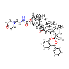 C[C@]1(C(=O)OC(c2ccccc2)c2ccccc2)CC[C@]2(C)CC[C@]3(C)C(=CC(=O)[C@@H]4[C@@]5(C)CC[C@H](OC(=O)NCCN6CCOCC6)[C@@](C)(C(=O)O)[C@@H]5CC[C@]43C)[C@@H]2C1